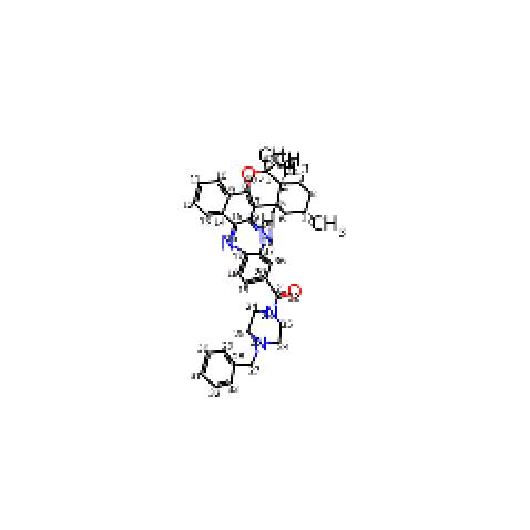 C[C@H]1CC[C@H]2[C@H](C1)c1c(c3ccccc3c3nc4ccc(C(=O)N5CCN(Cc6ccccc6)CC5)cc4nc13)OC2(C)C